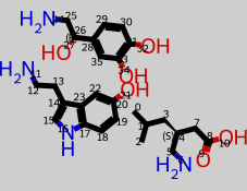 CC(C)C[C@H](CN)CC(=O)O.NCCc1c[nH]c2ccc(O)cc12.NC[C@H](O)c1ccc(O)c(O)c1